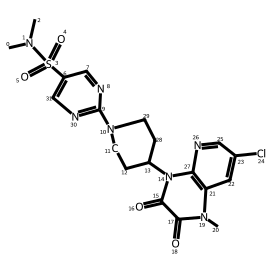 CN(C)S(=O)(=O)c1cnc(N2CCC(n3c(=O)c(=O)n(C)c4cc(Cl)cnc43)CC2)nc1